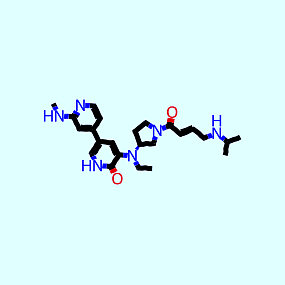 CCN(c1cc(-c2ccnc(NC)c2)c[nH]c1=O)[C@H]1CCN(C(=O)C=CCNC(C)C)C1